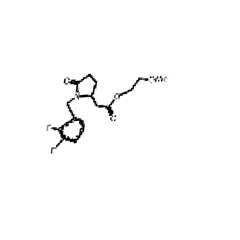 COCCOC(=O)CC1CCC(=O)N1Cc1cccc(F)c1F